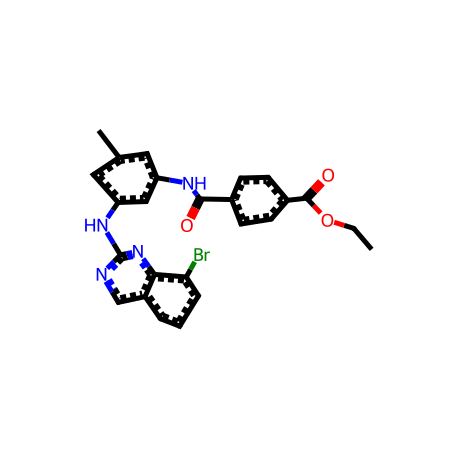 CCOC(=O)c1ccc(C(=O)Nc2cc(C)cc(Nc3ncc4cccc(Br)c4n3)c2)cc1